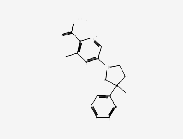 COC(=O)c1ncc(N2CCC(C)(c3ccccc3)C2)cc1C